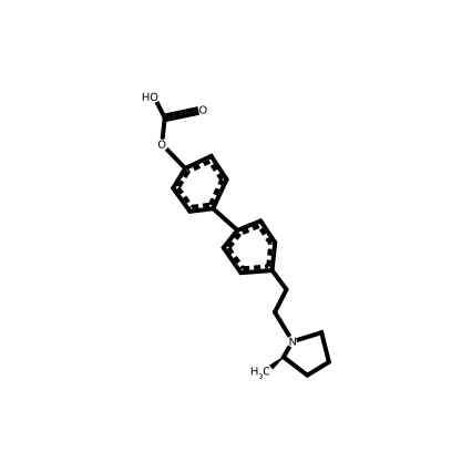 C[C@@H]1CCCN1CCc1ccc(-c2ccc(OC(=O)O)cc2)cc1